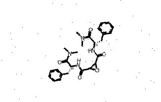 CN(C)C(=O)[C@H](Cc1ccccc1)NC(=O)C1OC1C(=O)N[C@H](Cc1ccccc1)C(=O)N(C)C